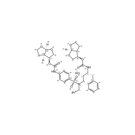 CC(C)CN(C[C@H](O)[C@@H](Cc1ccccc1)NC(=O)O[C@H]1CO[C@H]2OCCC21)S(=O)(=O)c1ccc(NC(=O)O[C@@H]2CO[C@@H]3OCC[C@@H]32)cc1